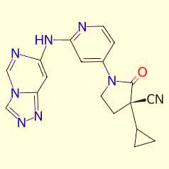 N#C[C@@]1(C2CC2)CCN(c2ccnc(Nc3cc4nncn4cn3)c2)C1=O